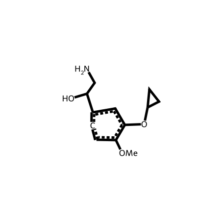 COc1ccc(C(O)CN)cc1OC1CC1